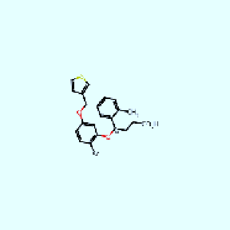 CC(=O)c1ccc(OCc2ccsc2)cc1O[C@H](CCC(=O)O)c1ccccc1C